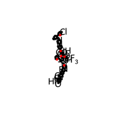 CC1(C)CCC(c2ccc(Cl)cc2)=C(CN2CCN(c3ccc(C(=O)NS(=O)(=O)c4ccc(N[C@H](CCN5CCN(Cc6cc7c(cc6Br)C(=O)N(C6CCC(=O)NC6=O)C7)CC5)CSc5ccccc5)c(S(=O)(=O)C(F)(F)F)c4)cc3)CC2)C1